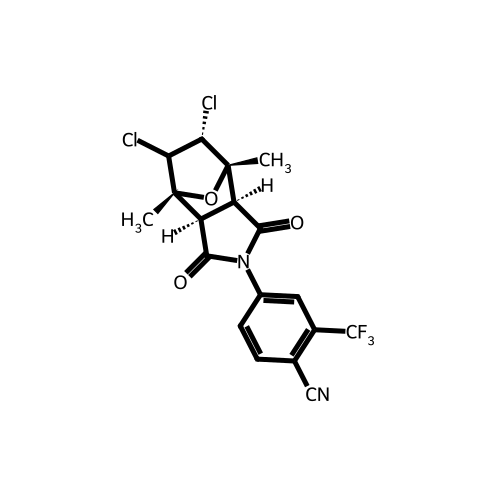 C[C@@]12O[C@@](C)(C(Cl)[C@@H]1Cl)[C@@H]1C(=O)N(c3ccc(C#N)c(C(F)(F)F)c3)C(=O)[C@@H]12